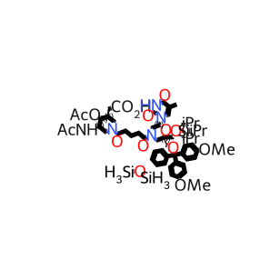 COc1ccc(C(OC[C@]2(CO[Si](C(C)C)(C(C)C)C(C)C)CN(C(=O)CCCC(=O)N3C[C@H](CC(=O)O)[C@@H](OC(C)=O)[C@@H](NC(C)=O)C3)C[C@H](n3cc(C)c(=O)[nH]c3=O)O2)(c2ccccc2)c2ccc(OC)cc2)cc1.[SiH3]O[SiH3]